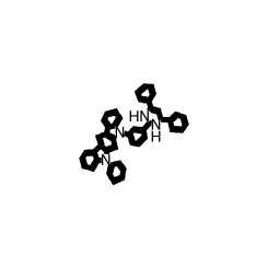 C1=C(c2ccccc2)NC(c2cccc(-n3c4ccccc4c4cc5c6ccccc6n(-c6ccccc6)c5cc43)c2)NC1c1ccccc1